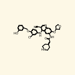 N#Cc1cnc2cc(OC3CCOC3)c(NC(=O)C=C3CCNCC3)cc2c1Nc1ccc(OCc2cccc(O)c2)c(Cl)c1